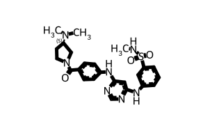 CNS(=O)(=O)c1cccc(Nc2cc(Nc3ccc(C(=O)N4CC[C@H](N(C)C)C4)cc3)ncn2)c1